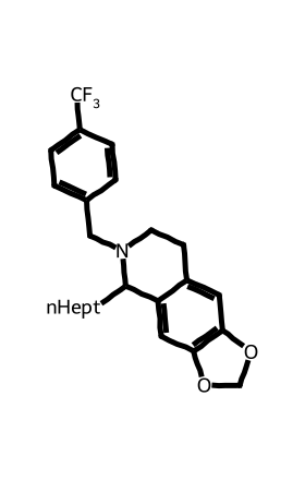 CCCCCCCC1c2cc3c(cc2CCN1Cc1ccc(C(F)(F)F)cc1)OCO3